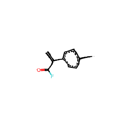 [CH2]c1ccc(C(=C)C(=O)F)cc1